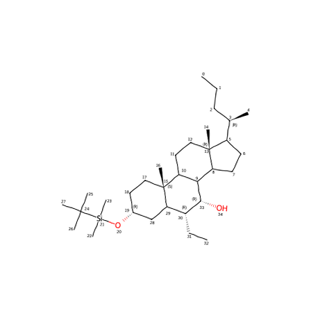 CCC[C@@H](C)C1CCC2C3C(CC[C@@]21C)[C@@]1(C)CC[C@@H](O[Si](C)(C)C(C)(C)C)CC1[C@@H](CC)[C@H]3O